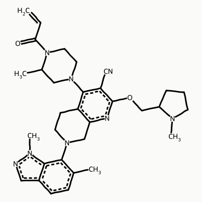 C=CC(=O)N1CCN(c2c(C#N)c(OCC3CCCN3C)nc3c2CCN(c2c(C)ccc4cnn(C)c24)C3)CC1C